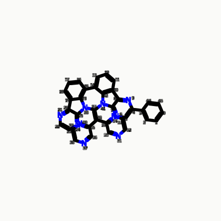 c1ccc(-c2cnc3c(n2)c2cccc4c5cccc6c7nccnc7n(c(=C(c7cnccn7)c7cnccn7)n3c42)c56)cc1